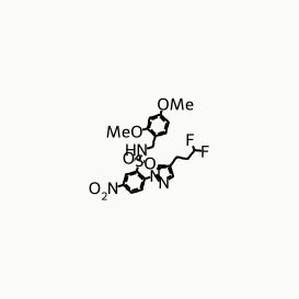 COc1ccc(CNS(=O)(=O)c2cc([N+](=O)[O-])ccc2-n2cc(CCC(F)F)cn2)c(OC)c1